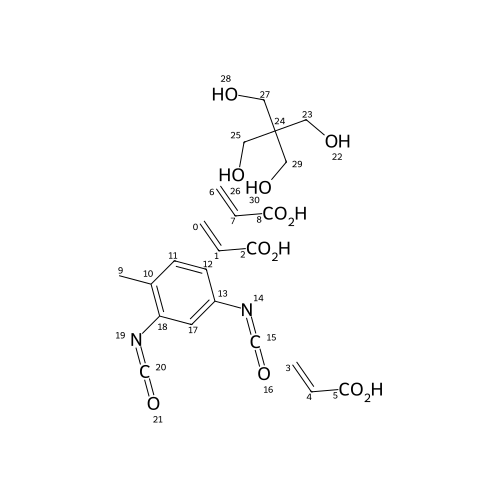 C=CC(=O)O.C=CC(=O)O.C=CC(=O)O.Cc1ccc(N=C=O)cc1N=C=O.OCC(CO)(CO)CO